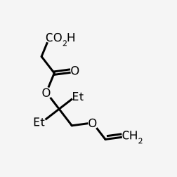 C=COCC(CC)(CC)OC(=O)CC(=O)O